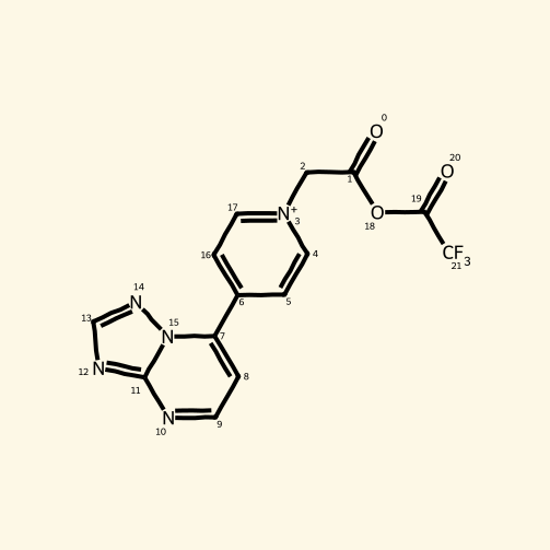 O=C(C[n+]1ccc(-c2ccnc3ncnn23)cc1)OC(=O)C(F)(F)F